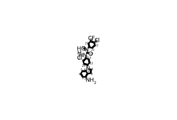 Cl.Nc1cccc2c1ccn2-c1ccc(NC(=O)N(O)c2ccc(Cl)c(C(F)(F)F)c2)cc1